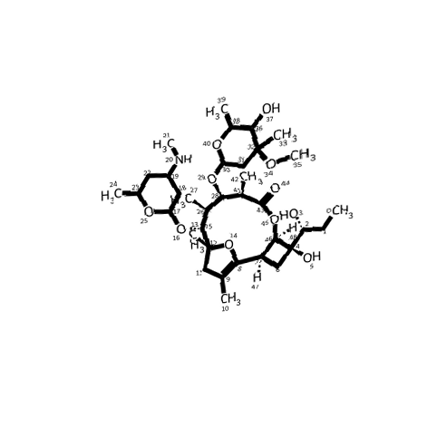 CC[C@@H](O)[C@]1(O)C[C@H]2C3=C(C)C[C@@](C)(O3)[C@H](OC3CC(NC)CC(C)O3)[C@@H](C)[C@@H](OC3CC(C)(OC)C(O)C(C)O3)[C@@H](C)C(=O)O[C@H]21